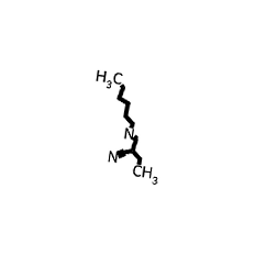 CCCCCCN=CC(C#N)CC